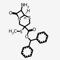 CSC1(C(=O)OC(c2ccccc2)c2ccccc2)CS[C@@H]2C(N)C(=O)N2C1